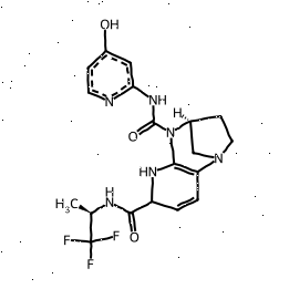 C[C@@H](NC(=O)C1C=CC2=C(N1)N(C(=O)Nc1cc(O)ccn1)[C@H]1CCN2C1)C(F)(F)F